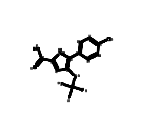 O=C(O)c1cc(SC(F)(F)F)c(-c2ccc(Cl)cc2)[nH]1